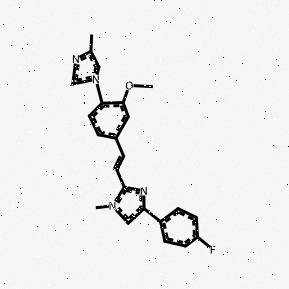 COc1cc(C=Cc2nc(-c3ccc(F)cc3)cn2C)ccc1-n1cnc(C)c1